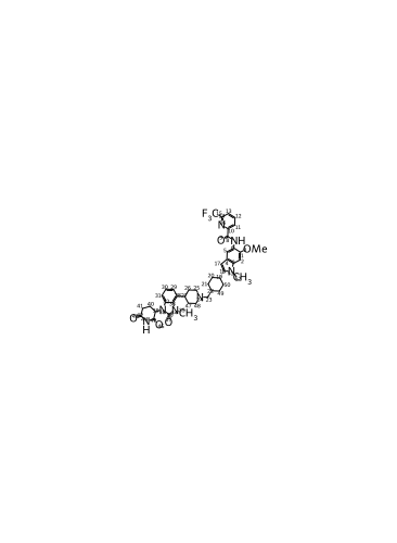 COc1cc2c(cc1NC(=O)c1cccc(C(F)(F)F)n1)cc([C@H]1CC[C@H](CN3CCC(c4cccc5c4n(C)c(=O)n5C4CCC(=O)NC4=O)CC3)CC1)n2C